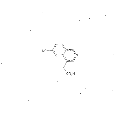 N#Cc1ccc2cncc(CC(=O)O)c2c1